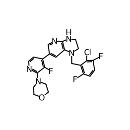 Fc1ccc(F)c(CN2CCNc3ncc(-c4ccnc(N5CCOCC5)c4F)cc32)c1Cl